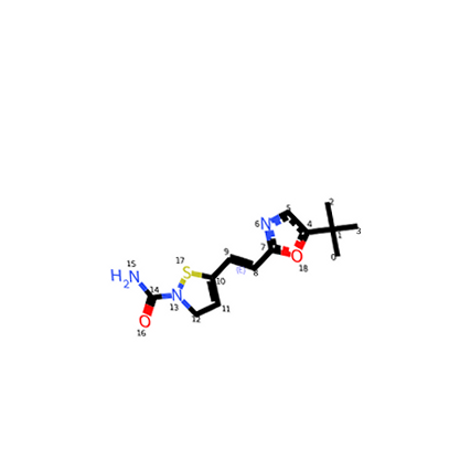 CC(C)(C)c1cnc(/C=C/C2=CCN(C(N)=O)S2)o1